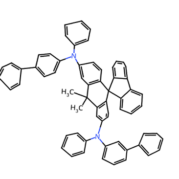 CC1(C)c2cc(N(c3ccccc3)c3ccc(-c4ccccc4)cc3)ccc2C2(c3ccccc3-c3ccccc32)c2ccc(N(c3ccccc3)c3cccc(-c4ccccc4)c3)cc21